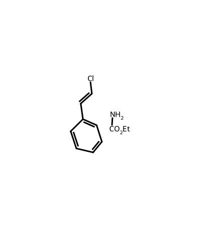 CCOC(N)=O.ClC=Cc1ccccc1